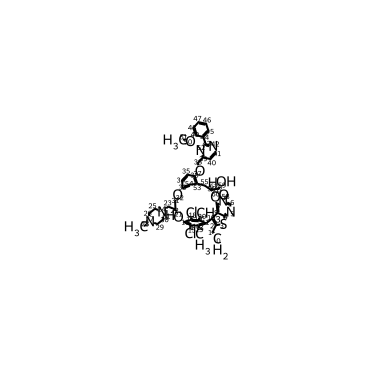 C=Cc1sc2ncnc3c2c1-c1c(C)c(Cl)c(c(Cl)c1C)O[C@H](CN1CCN(C)CC1)COc1ccc(OCc2ccnc(-c4ccccc4OC)n2)c(c1)C[C@H](C(=O)O)O3